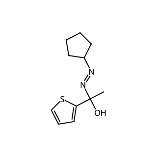 CC(O)(N=NC1CCCC1)c1cccs1